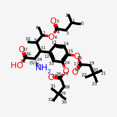 CC(C)CC(=O)OC(C)C(C)C(c1ccc(OC(=O)CC(C)(C)C)c(OC(=O)CC(C)(C)C)c1)[C@H](N)C(=O)O